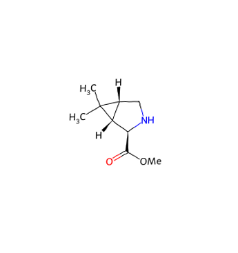 COC(=O)[C@@H]1NC[C@@H]2[C@H]1C2(C)C